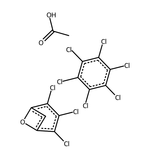 CC(=O)O.Clc1c(Cl)c(Cl)c(Cl)c(Cl)c1Cl.Clc1c2cc(c(Cl)c1Cl)O2